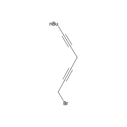 CCCCC#CCC#CCBr